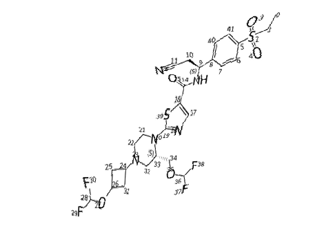 CCS(=O)(=O)c1ccc([C@H](CC#N)NC(=O)c2cnc(N3CCN(C4CC(OC(F)F)C4)C[C@H]3COC(F)F)s2)cc1